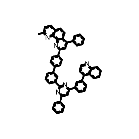 Cc1ccc2ccc3c(-c4ccccc4)cc(-c4ccc(-c5cccc(-c6nc(-c7ccccc7)cc(-c7cccc(-c8ccnc9ccccc89)c7)n6)c5)cc4)nc3c2n1